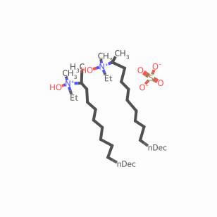 CCCCCCCCCCCCCCCCCCC(C)[N+](C)(O)CC.CCCCCCCCCCCCCCCCCCC(C)[N+](C)(O)CC.O=S(=O)([O-])[O-]